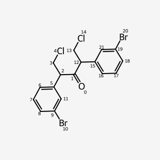 O=C(C(CCl)c1cccc(Br)c1)C(CCl)c1cccc(Br)c1